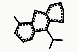 Cc1cccc2c(C(C)C)c3ccccc3cc12